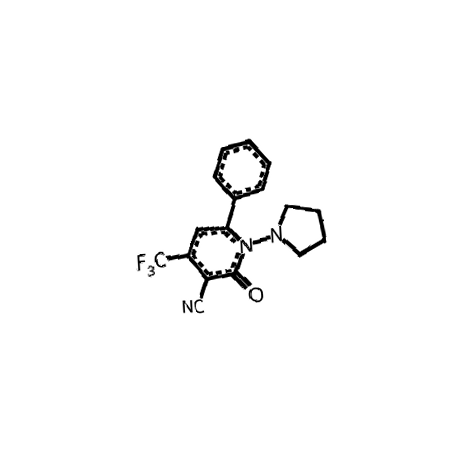 N#Cc1c(C(F)(F)F)cc(-c2ccccc2)n(N2CCCC2)c1=O